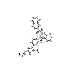 NCC(=O)N=C(N)c1ccc(C[C@H](NS(=O)(=O)c2ccc3ccccc3c2)C(=O)N2CCCCC2)cc1